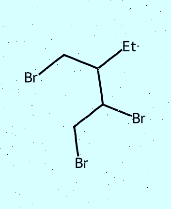 C[CH]C(CBr)C(Br)CBr